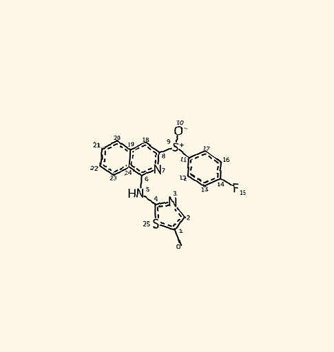 Cc1cnc(Nc2nc([S+]([O-])c3ccc(F)cc3)cc3ccccc23)s1